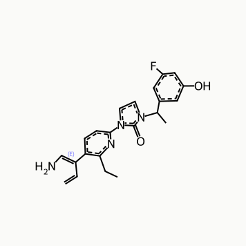 C=C/C(=C\N)c1ccc(-n2ccn(C(C)c3cc(O)cc(F)c3)c2=O)nc1CC